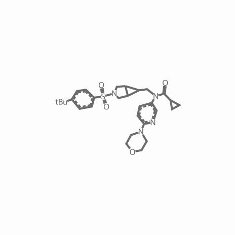 CC(C)(C)c1ccc(S(=O)(=O)N2CC3C(CN(C(=O)C4CC4)c4ccc(N5CCOCC5)nc4)C3C2)cc1